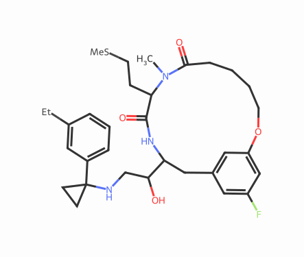 CCc1cccc(C2(NCC(O)C3Cc4cc(F)cc(c4)OCCCCC(=O)N(C)C(CCSC)C(=O)N3)CC2)c1